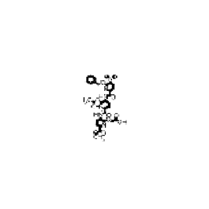 COC(=O)c1ccc(NC(=O)c2ccc(NC(=O)c3ccc([N+](=O)[O-])c(OCc4ccccc4)n3)c(OC(C)C)n2)c(OCC(=O)O)n1